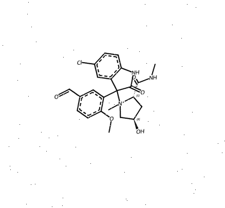 CNC(=O)[C@@H]1C[C@@H](O)C[N+]1(C)C1(c2cc(C=O)ccc2OC)C(=O)Nc2ccc(Cl)cc21